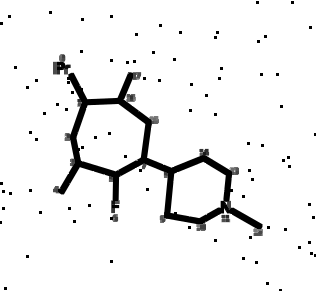 CC(C)C1CC(C)C(F)C(C2CCN(C)CC2)CC1C